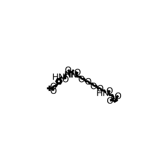 CC(NC(=O)CCOCCOCCOCCOCCNC(=O)CCN1C(=O)C=CC1=O)C(=O)NCC(=O)Nc1ccc(COC(=O)C(C)(C)C)cc1